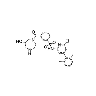 Cc1cccc(C)c1-c1cc(Cl)nc(NS(=O)(=O)c2cccc(C(=O)N3CCNCC(O)C3)c2)n1